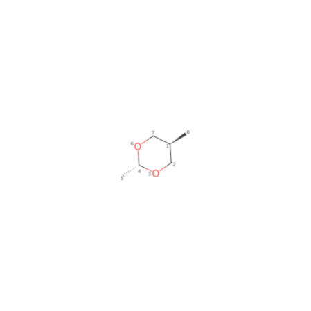 C[C@H]1CO[C@H](C)OC1